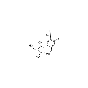 O=c1[nH]c(=O)n([C@@H]2C(O)C(O)[C@H](CO)[C@H]2O)cc1C(F)(F)F